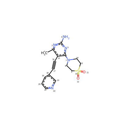 Cc1nc(N)nc(N2CCS(=O)(=O)CC2)c1C#Cc1cccnc1